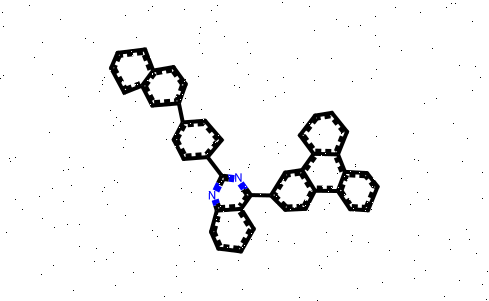 c1ccc2cc(-c3ccc(-c4nc(-c5ccc6c7ccccc7c7ccccc7c6c5)c5ccccc5n4)cc3)ccc2c1